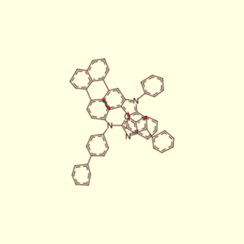 c1ccc(-c2ccc(N(c3ccc(-c4cccc5cccc(-c6ccc7c8ccc(-c9ccccc9)cc8n(-c8ccccc8)c7c6)c45)cc3)c3nc4ccccc4o3)cc2)cc1